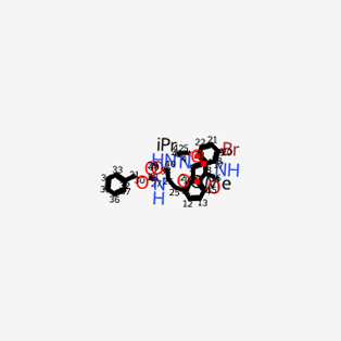 COC(=O)c1nc2oc1[C@]13c4cc(ccc4OC1Nc1c(Br)cccc13)C[C@H](NC(=O)OCc1ccccc1)C(=O)N[C@H]2C(C)C